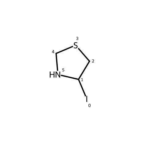 IC1CSCN1